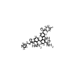 CN1CCN(C(=O)c2ccc3c(c2)[nH]c2c(C(N)=O)ccc(-c4cccc(NC(=O)CCn5ccnc5)c4CN)c23)CC1